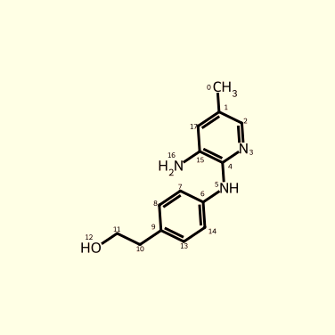 Cc1cnc(Nc2ccc(CCO)cc2)c(N)c1